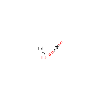 B.[Fe].[Nd].[O]=[Ti]=[O]